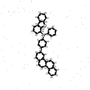 c1ccc(N(c2ccc(-c3ccc4ccc5c6ccccc6ccc5c4c3)cc2)c2cccc3c2oc2ccccc23)cc1